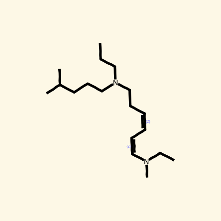 CCCN(CC/C=C\C=C/N(C)CC)CCCC(C)C